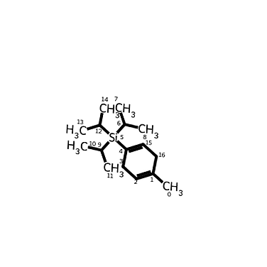 CC1=CCC([Si](C(C)C)(C(C)C)C(C)C)=CC1